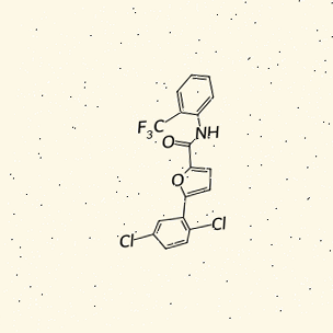 O=C(Nc1ccccc1C(F)(F)F)c1ccc(-c2cc(Cl)ccc2Cl)o1